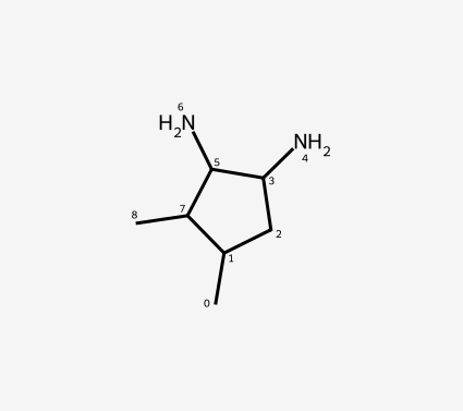 CC1CC(N)C(N)C1C